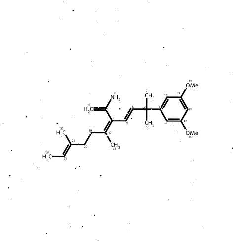 C=C(N)C(/C=C/C(C)(C)c1cc(OC)cc(OC)c1)=C(/C)CC/C(C)=C/C